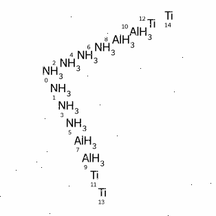 N.N.N.N.N.N.N.[AlH3].[AlH3].[AlH3].[AlH3].[Ti].[Ti].[Ti].[Ti]